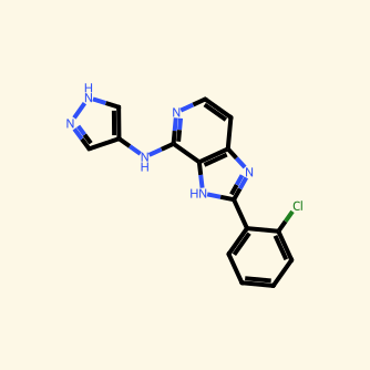 Clc1ccccc1-c1nc2ccnc(Nc3cn[nH]c3)c2[nH]1